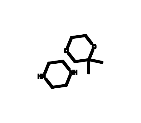 C1CNCCN1.CC1(C)COCCO1